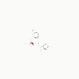 COc1ccc(NC(=O)[C@@H]2[C@@H](c3cccc(C(F)(F)F)n3)[C@H]3O[C@]24C[C@H]3C4)cn1